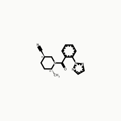 C[C@@H]1CC[C@@H](C#N)CN1C(=O)c1ccccc1-n1nccn1